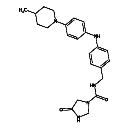 CC1CCN(c2ccc(Nc3ccc(CNC(=O)N4CNC(=O)C4)cc3)cc2)CC1